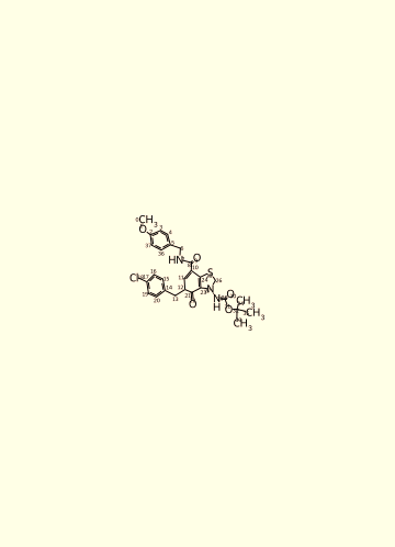 COc1ccc(CNC(=O)C2=CC(Cc3ccc(Cl)cc3)C(=O)C3=C2SCN3NC(=O)OC(C)(C)C)cc1